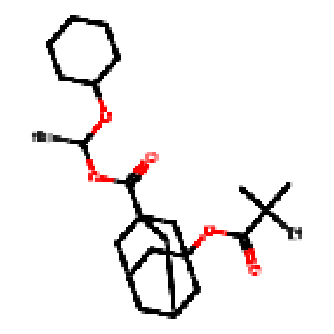 CCC(C)(C)C(=O)OC12CC3CC(C1)CC(C(=O)OC(OC1CCCCC1)C(C)(C)C)(C3)C2